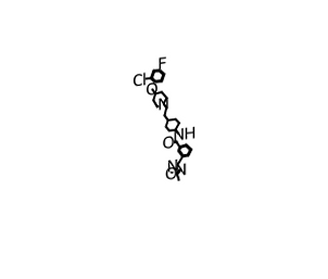 Cc1nc(-c2cccc(C(=O)NC3CCC(CCN4CCC(Oc5ccc(F)cc5Cl)CC4)CC3)c2)no1